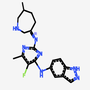 Cc1nc(/N=C2/CCC(C)CNC2)nc(Nc2ccc3[nH]ncc3c2)c1F